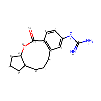 N=C(N)Nc1ccc2c(c1)CCCC1CCCC1OC2=O